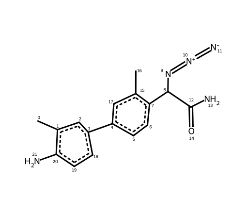 Cc1cc(-c2ccc(C(N=[N+]=[N-])C(N)=O)c(C)c2)ccc1N